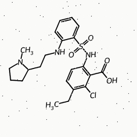 CCc1ccc(NS(=O)(=O)c2ccccc2NCCC2CCCN2C)c(C(=O)O)c1Cl